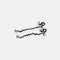 O=C1c2ccccc2C(=O)N1CCCCCCCCCCCCCCCCCBr.O=C1c2ccccc2C(=O)N1CCCCCCCCCCCCCCCCCCBr